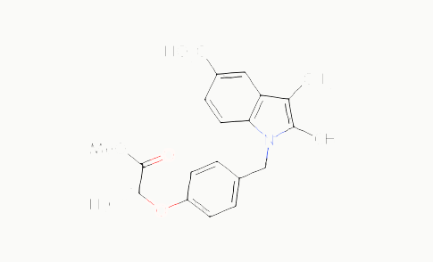 COC(=O)[C@@H](C)Oc1ccc(Cn2c(C)c(C)c3cc(C(=O)O)ccc32)cc1